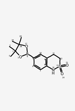 CC1(C)OB(c2ccc3c(c2)CCS(=O)(=O)N3)OC1(C)C